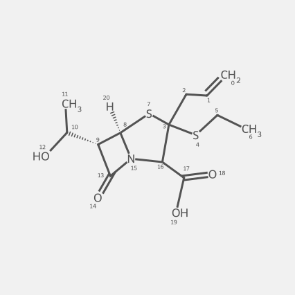 C=CCC1(SCC)S[C@@H]2[C@@H](C(C)O)C(=O)N2C1C(=O)O